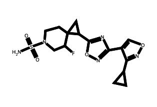 NS(=O)(=O)N1CCC2(CC2c2nc(-c3conc3C3CC3)no2)C(F)C1